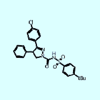 CC(C)(C)c1ccc(S(=O)(=O)NC(=O)N2CC(c3ccccc3)C(c3ccc(Cl)cc3)=N2)cc1